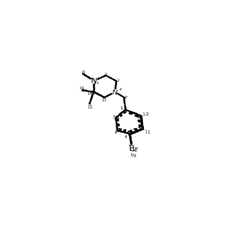 CN1CCN(Cc2ccc(Br)cc2)CC1(C)C